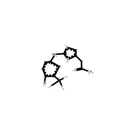 CC(=O)Cc1csc(Nc2ccc(Br)c(C(F)(F)F)c2)n1